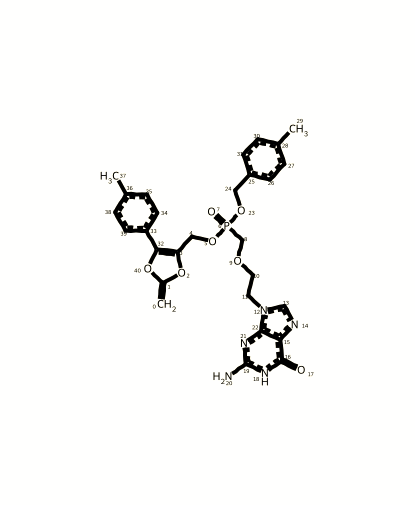 C=C1OC(COP(=O)(COCCn2cnc3c(=O)[nH]c(N)nc32)OCc2ccc(C)cc2)=C(c2ccc(C)cc2)O1